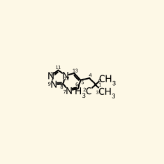 CC(C)(C)Cc1cnc2nncn2c1